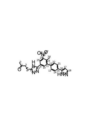 CC(=O)CSc1nnc(-c2cc(-c3ccc(-c4ccn[nH]4)cc3)c(C)c([N+](=O)[O-])c2)[nH]1